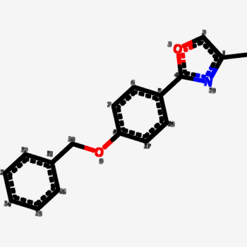 Cc1[c]oc(-c2ccc(OCc3ccccc3)cc2)n1